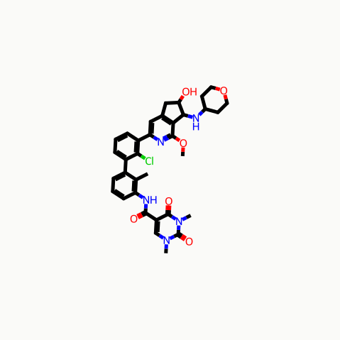 COc1nc(-c2cccc(-c3cccc(NC(=O)c4cn(C)c(=O)n(C)c4=O)c3C)c2Cl)cc2c1C(NC1CCOCC1)C(O)C2